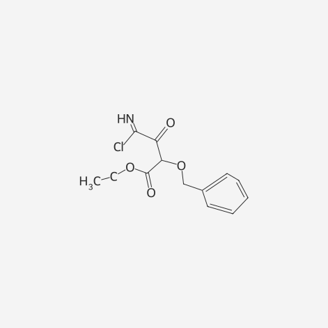 CCOC(=O)C(OCc1ccccc1)C(=O)C(=N)Cl